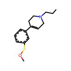 CCCN1CC=C(c2cccc(SOC)c2)CC1